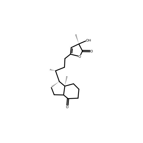 C[C@H](CCC1=C[C@@](C)(O)C(=O)O1)[C@H]1CCC2C(=O)CCC[C@@]21C